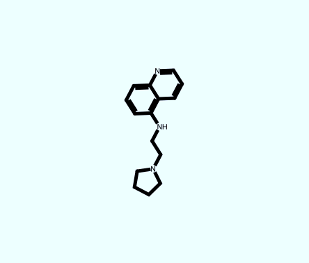 c1cc(NCCN2CCCC2)c2cccnc2c1